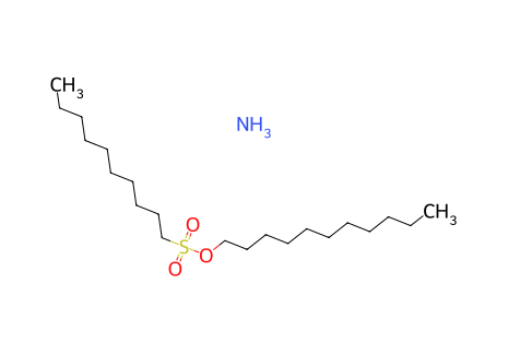 CCCCCCCCCCCOS(=O)(=O)CCCCCCCCCC.N